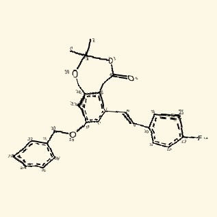 CC1(C)OC(=O)c2c(/C=C/c3ccc(F)cc3)cc(OCc3ccccc3)cc2O1